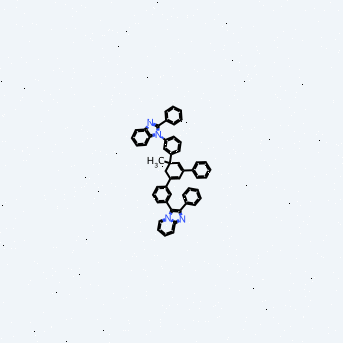 CC1(c2cccc(-n3c(-c4ccccc4)nc4ccccc43)c2)C=C(c2ccccc2)C=C(c2cccc(-c3c(-c4ccccc4)nc4ccccn34)c2)C1